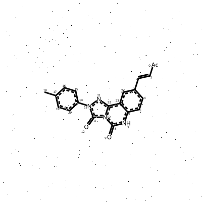 CC(=O)/C=C/c1ccc2[nH]c(=O)n3c(=O)n(-c4ccc(C)cc4)nc3c2c1